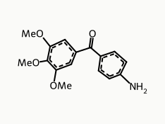 COc1cc(C(=O)c2ccc(N)cc2)cc(OC)c1OC